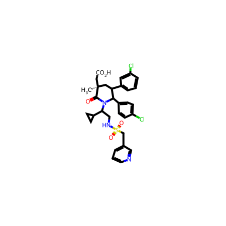 C[C@]1(CC(=O)O)CC(c2cccc(Cl)c2)C(c2ccc(Cl)cc2)N(C(CNS(=O)(=O)Cc2cccnc2)C2CC2)C1=O